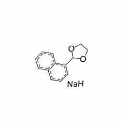 [NaH].c1ccc2c(C3OCCO3)cccc2c1